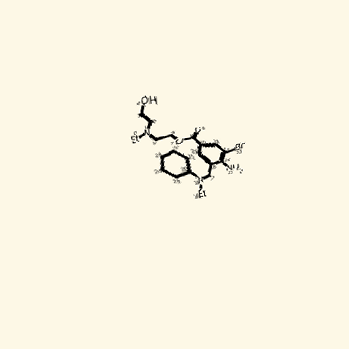 CCN(CCO)CCOC(=O)c1cc(Br)c(N)c(CN(CC)C2CCCCC2)c1